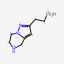 CCOC(=O)CCc1cc2n(n1)CCNC2